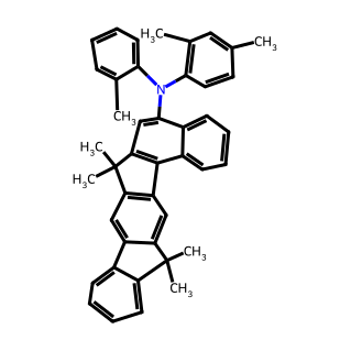 Cc1ccc(N(c2ccccc2C)c2cc3c(c4ccccc24)-c2cc4c(cc2C3(C)C)-c2ccccc2C4(C)C)c(C)c1